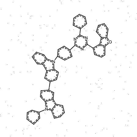 c1ccc(-c2nc(-c3ccc(-n4c5ccccc5c5cc(-c6ccc7c(c6)c6ccccc6n7-c6ccccc6)ccc54)cc3)nc(-c3cccc4oc5ccccc5c34)n2)cc1